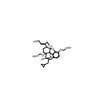 COCOc1ccc2c3c1O[C@H]1[C@@]4(CCC4=CCO)CC[C@@]4(OCOC)[C@@H](C2)N(CC2CC2)CC[C@]314